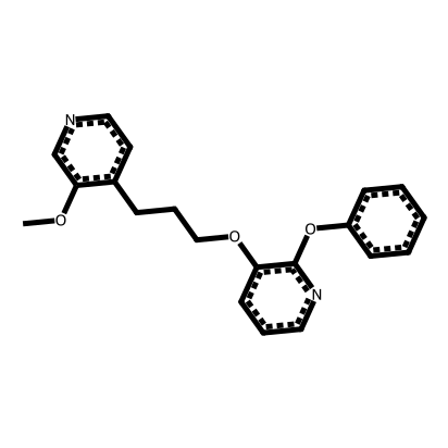 COc1cnccc1CCCOc1cccnc1Oc1ccccc1